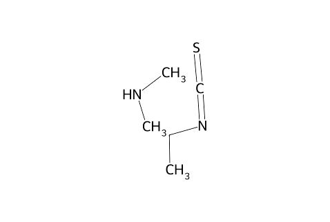 CCN=C=S.CNC